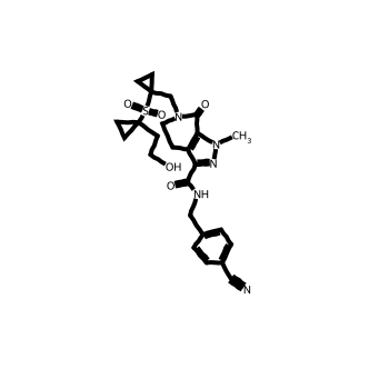 Cn1nc(C(=O)NCc2ccc(C#N)cc2)c2c1C(=O)N(CC1(S(=O)(=O)C3(CCO)CC3)CC1)CC2